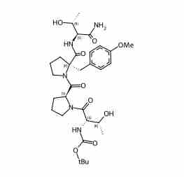 COc1ccc(C[C@@]2(C(=O)N[C@H](C(N)=O)[C@@H](C)O)CCCN2C(=O)[C@@H]2CCCN2C(=O)[C@@H](NC(=O)OC(C)(C)C)[C@@H](C)O)cc1